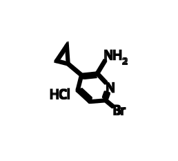 Cl.Nc1nc(Br)ccc1C1CC1